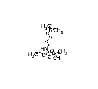 CCOP(=O)(NCCCCN(C)C)OC(C)C